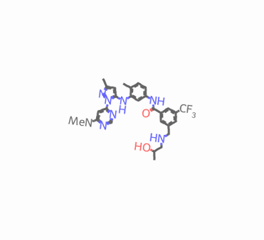 CNc1cc(-n2nc(C)cc2Nc2cc(NC(=O)c3cc(CNCC(C)O)cc(C(F)(F)F)c3)ccc2C)ncn1